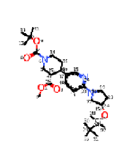 COC(=O)[C@@H]1CN(C(=O)OC(C)(C)C)CC[C@H]1c1ccc(N2CC[C@H](O[Si](C)(C)C(C)(C)C)C2)nc1